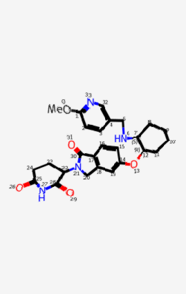 COc1ccc(CN[C@H]2CCCC[C@H]2Oc2ccc3c(c2)CN(C2CCC(=O)NC2=O)C3=O)cn1